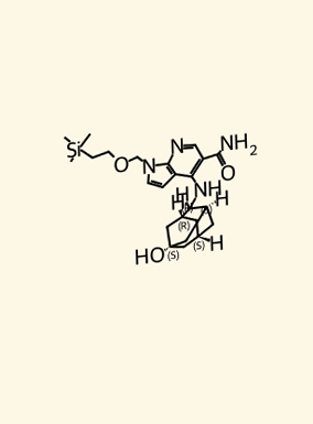 C[Si](C)(C)CCOCn1ccc2c(N[C@H]3[C@@H]4C[C@@H]5C[C@H]3C[C@@](O)(C5)C4)c(C(N)=O)cnc21